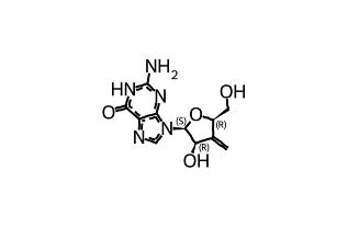 C=C1[C@H](CO)O[C@H](n2cnc3c(=O)[nH]c(N)nc32)[C@@H]1O